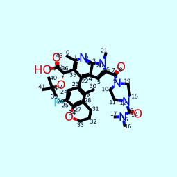 Cc1nc2c(cc(C(=O)N3CCN(C(=O)N(C)C)CC3)n2C)c(-c2cc(F)c3c(c2C)CCCO3)c1[C@H](OC(C)(C)C)C(=O)O